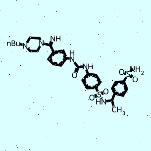 CCCCN1CCN(C(=N)c2cccc(NC(=O)Nc3ccc(S(=O)(=O)NC(C)c4ccc(S(N)(=O)=O)cc4)cc3)c2)CC1